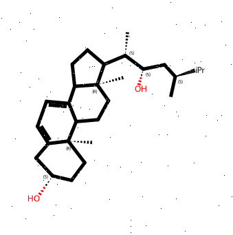 CC(C)[C@@H](C)C[C@H](O)[C@@H](C)C1CCC2C3=CC=C4C[C@@H](O)CC[C@]4(C)C3CC[C@@]21C